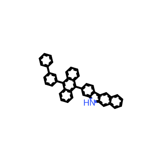 c1ccc(-c2cccc(-c3c4ccccc4c(-c4ccc5c(c4)[nH]c4cc6ccccc6cc45)c4ccccc34)c2)cc1